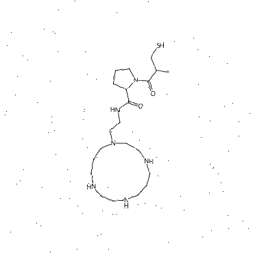 CC(CS)C(=O)N1CCCC1C(=O)NCCN1CCCNCCNCCCNCC1